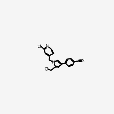 N#Cc1ccc(-c2cc(CCl)n(Cc3ccnc(Cl)c3)c2)cc1